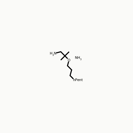 CCCCCCCCOC(C)(C)CN.N